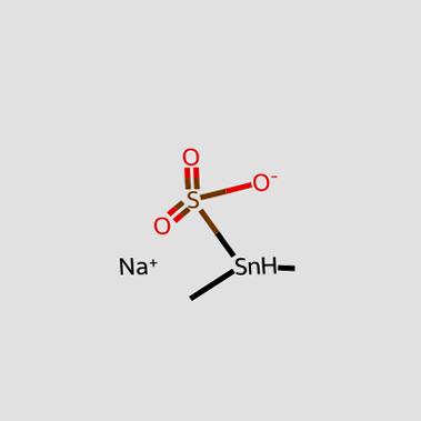 [CH3][SnH]([CH3])[S](=O)(=O)[O-].[Na+]